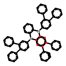 c1cccc(-c2ccc(N(c3ccc(-c4ccccc4)c(-c4ccccc4)c3)c3ccccc3N(c3ccc(-c4ccccc4)cc3)c3ccc(-c4ccccc4)c(-c4ccccc4)c3)cc2)c#1